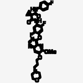 COc1nc2c(Oc3cc(F)c(NC(=O)C4(C(=O)Nc5ccc(F)cc5)CC4)cc3F)ncnc2cc1OCCCN1CCOCC1